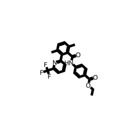 CCOC(=O)c1ccc(NC(=O)c2c(C)ccc(C)c2-c2cccc(C(F)(F)F)n2)cc1